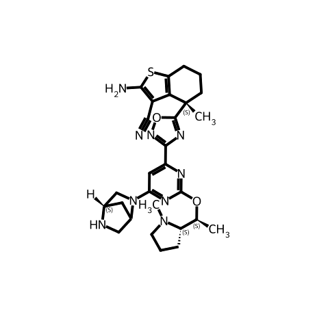 C[C@H](Oc1nc(-c2noc([C@@]3(C)CCCc4sc(N)c(C#N)c43)n2)cc(N2C[C@@H]3CC2CN3)n1)[C@@H]1CCCN1C